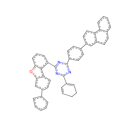 C1=CC(c2nc(-c3ccc(-c4ccc5c(ccc6ccccc65)c4)cc3)nc(-c3cccc4oc5cc(-c6ccccc6)ccc5c34)n2)=CCC1